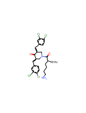 CC(=O)NC(CCCCN)C(=O)N1C/C(=C\c2ccc(Cl)c(Cl)c2)C(=O)/C(=C/c2ccc(Cl)c(Cl)c2)C1